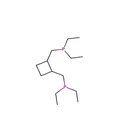 CCP(CC)CC1CCC1CP(CC)CC